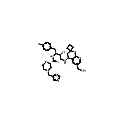 CC(C)(C)Cc1cnc2c(c1)[C@@H](NC[C@H](O)[C@H](Cc1ccc(F)cc1)NC(=O)[C@@H]1CN(Cc3cscn3)CCO1)CC1(CCC1)O2